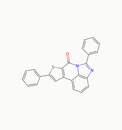 O=c1c2sc(-c3ccccc3)cc2c2cccc3nc(-c4ccccc4)n1c32